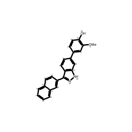 COc1cc(-c2ccc3c(-c4ccc5ccccc5c4)n[nH]c3c2)ccc1O